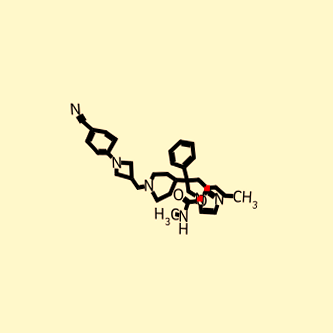 CCCC(CC(Cn1ccnc1)(c1ccccc1)C1CCN(CC2CN(c3ccc(C#N)cc3)C2)CC1)OC(=O)NC